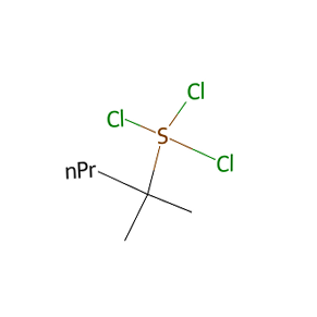 CCCC(C)(C)S(Cl)(Cl)Cl